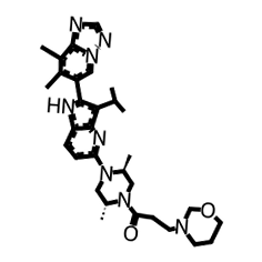 Cc1c(-c2[nH]c3ccc(N4C[C@@H](C)N(C(=O)CCN5CCCOC5)C[C@@H]4C)nc3c2C(C)C)cn2ncnc2c1C